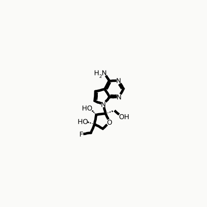 Nc1ncnc2c1ccn2[C@@]1(CO)OC[C@@](O)(CF)[C@@H]1O